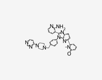 Cn1c(-c2ccc3nc(-c4cccnc4N)n(-c4ccc(CN5CCN(c6ccncn6)CC5)cc4)c3n2)cccc1=O